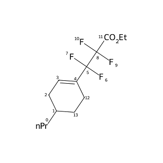 CCCC1CC=C(C(F)(F)C(F)(F)C(=O)OCC)CC1